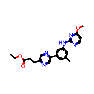 CCOC(=O)CCc1cnc(-c2cc(C)cc(Nc3nccc(OC)n3)c2)cn1